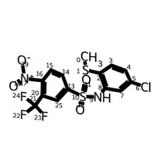 CSc1ccc(Cl)cc1NS(=O)(=O)c1ccc([N+](=O)[O-])c(C(F)(F)F)c1